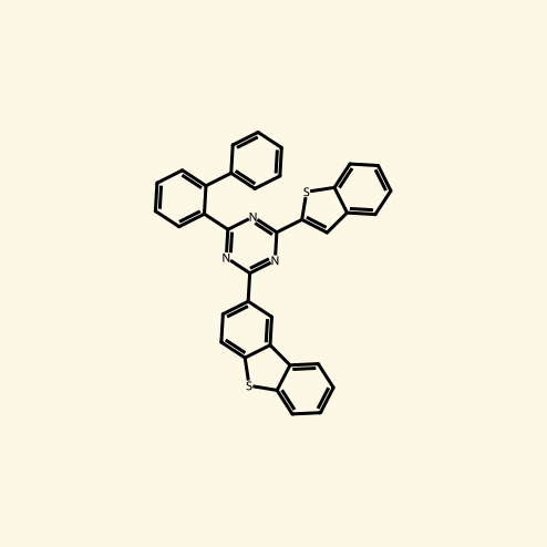 c1ccc(-c2ccccc2-c2nc(-c3ccc4sc5ccccc5c4c3)nc(-c3cc4ccccc4s3)n2)cc1